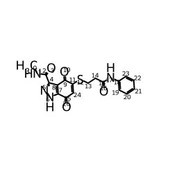 CNC(=O)c1n[nH]c2c1C(=O)C(SCCC(=O)Nc1ccccc1)=CC2=O